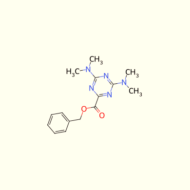 CN(C)c1nc(C(=O)OCc2ccccc2)nc(N(C)C)n1